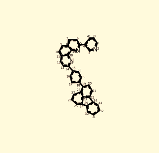 c1cncc(-c2ccc3ccc4ccc(-c5ccc(-c6ccc7c8c(cccc68)-c6ccccc6-7)cc5)nc4c3n2)c1